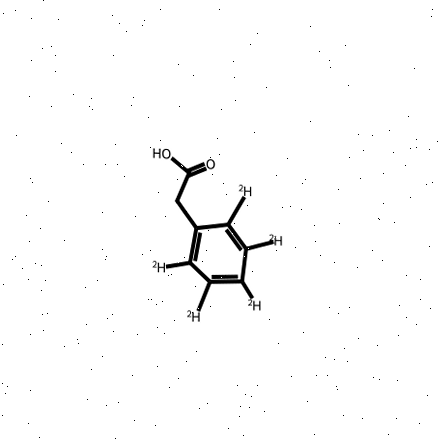 [2H]c1c([2H])c([2H])c(CC(=O)O)c([2H])c1[2H]